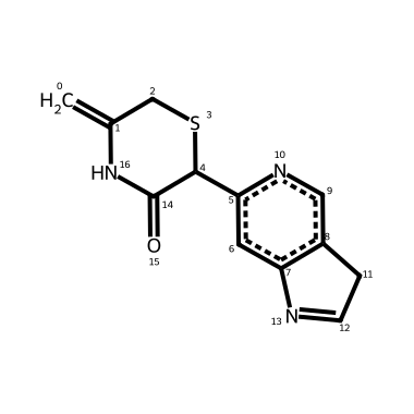 C=C1CSC(c2cc3c(cn2)CC=N3)C(=O)N1